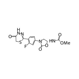 COC(=O)NC[C@H]1CN(c2ccc(C3=NNC(=O)CS3)c(F)c2)C(=O)O1